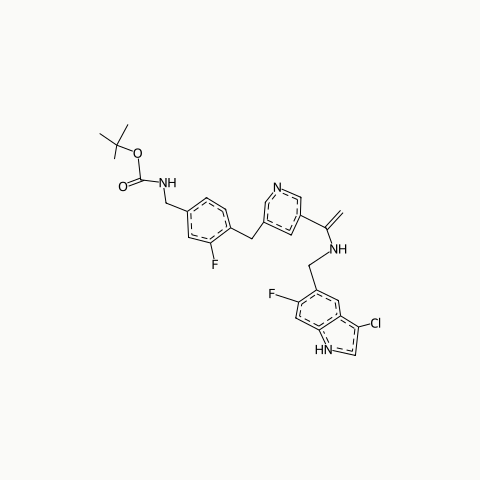 C=C(NCc1cc2c(Cl)c[nH]c2cc1F)c1cncc(Cc2ccc(CNC(=O)OC(C)(C)C)cc2F)c1